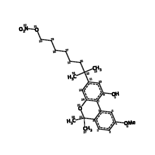 COc1ccc2c(c1)-c1c(O)cc(C(C)(C)CCCCCCO[N+](=O)[O-])cc1OC2(C)C